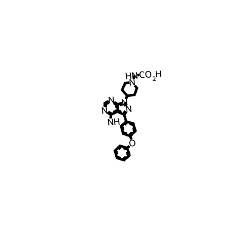 Nc1ncnc2c1c(-c1ccc(Oc3ccccc3)cc1)nn2C1CCN(NC(=O)O)CC1